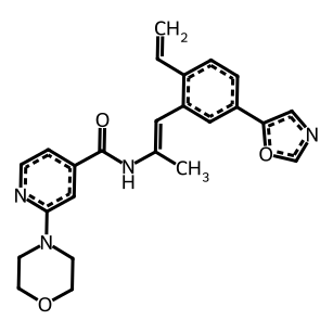 C=Cc1ccc(-c2cnco2)cc1/C=C(\C)NC(=O)c1ccnc(N2CCOCC2)c1